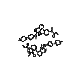 C=CC(=O)Nc1ccc(C#N)c(-c2cccc3cnc(Nc4ccc(N5CCN(C)CC5)cc4)nc23)c1.C=CC(=O)Nc1cccc(-c2cccc3cnc(Nc4ccc(N5CCN(C)CC5)cc4)nc23)c1C(=O)OC